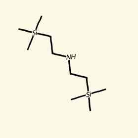 C[Si](C)(C)CCNCC[Si](C)(C)C